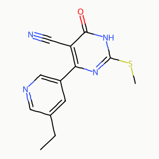 CCc1cncc(-c2nc(SC)[nH]c(=O)c2C#N)c1